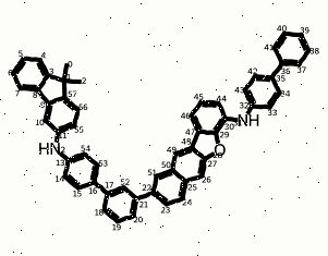 CC1(C)c2ccccc2-c2cc(Nc3ccc(-c4cccc(-c5ccc6cc7oc8c(Nc9ccc(-c%10ccccc%10)cc9)cccc8c7cc6c5)c4)cc3)ccc21